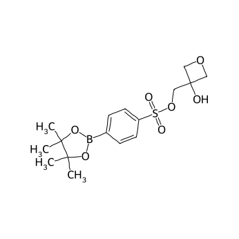 CC1(C)OB(c2ccc(S(=O)(=O)OCC3(O)COC3)cc2)OC1(C)C